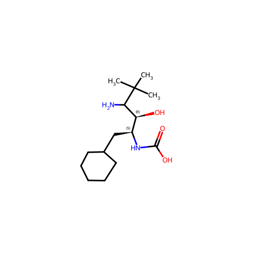 CC(C)(C)C(N)[C@@H](O)[C@H](CC1CCCCC1)NC(=O)O